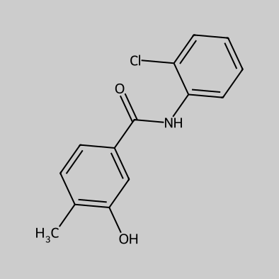 Cc1ccc(C(=O)Nc2ccccc2Cl)cc1O